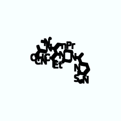 CCC/C=C(\C(=C(\F)C=O)N1CCN(C(C)c2ccc3ncsc3n2)CC1CC)N(/C=C(\C)CC#N)N(C)C